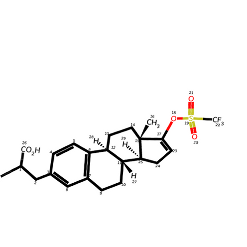 CCC(Cc1ccc2c(c1)CC[C@@H]1[C@@H]2CC[C@]2(C)C(OS(=O)(=O)C(F)(F)F)=CC[C@@H]12)C(=O)O